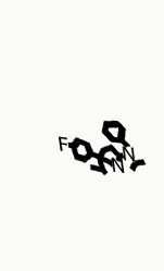 CC(C)N(Cc1ccccc1)C(C)CCC(C#N)(c1ccc(F)cc1)C(C)C